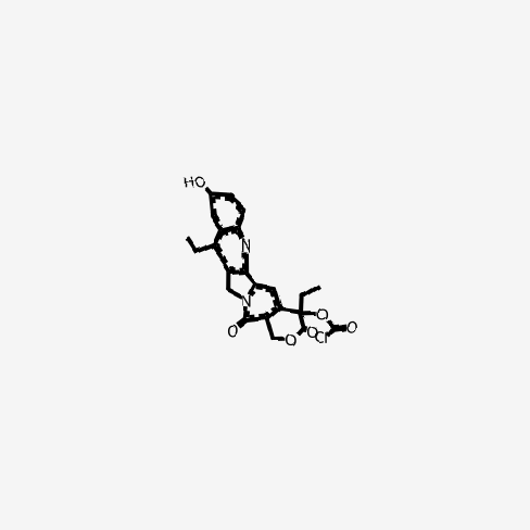 CCc1c2c(nc3ccc(O)cc13)-c1cc3c(c(=O)n1C2)COC(=O)C3(CC)OC(=O)Cl